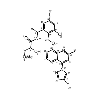 COCC(O)C(=O)N[C@@H](C)c1cc(F)cc(Cl)c1COc1cccc2c(-n3cc(F)cn3)cc(C)nc12